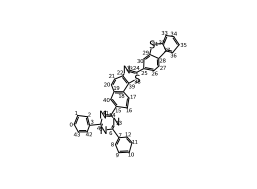 c1ccc(-c2nc(-c3ccccc3)nc(-c3ccc4c(ccc5nc(-c6ccc7c(c6)sc6ccccc67)sc54)c3)n2)cc1